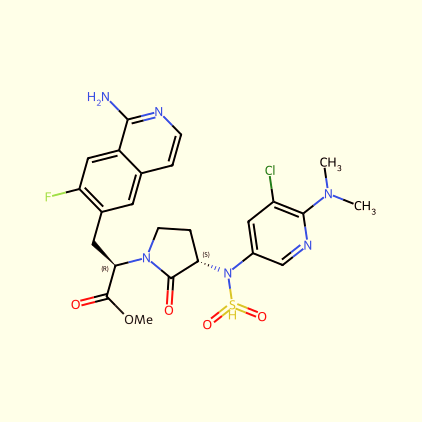 COC(=O)[C@@H](Cc1cc2ccnc(N)c2cc1F)N1CC[C@H](N(c2cnc(N(C)C)c(Cl)c2)[SH](=O)=O)C1=O